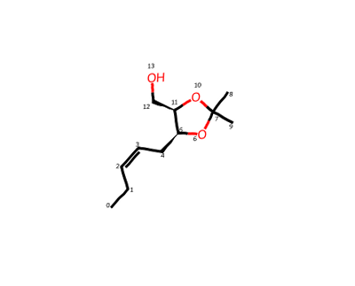 CC/C=C\C[C@@H]1OC(C)(C)O[C@@H]1CO